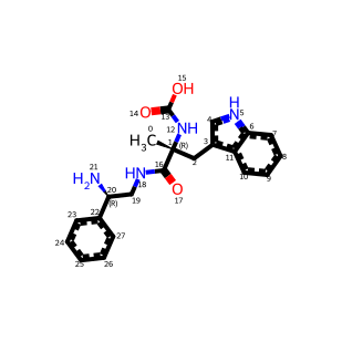 C[C@](Cc1c[nH]c2ccccc12)(NC(=O)O)C(=O)NC[C@H](N)c1ccccc1